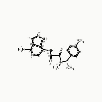 C[C@@H](c1ccc(C(F)(F)F)cc1)N(C)C(=O)C(=O)Nc1cnc(N)c2cn[nH]c12